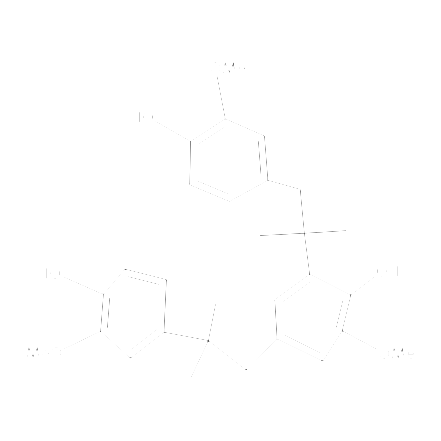 COc1cc(CC(C)(C)c2cc(CC(C)(C)c3ccc(O)c(OC)c3)cc(OC)c2O)ccc1O